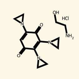 Cl.NCCO.O=C1C=C(N2CC2)C(=O)C(N2CC2)=C1N1CC1